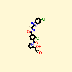 C[C@H](NC(=O)c1ccc(C(=O)N2CCCC2[C@@H](O)C=C=O)c(Cl)c1)c1nc2cc(Cl)ccc2[nH]1